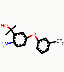 CC(C)(O)c1cc(Oc2cccc(C(F)(F)F)c2)ccc1N